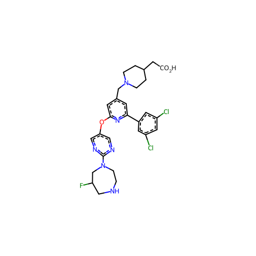 O=C(O)CC1CCN(Cc2cc(Oc3cnc(N4CCNCC(F)C4)nc3)nc(-c3cc(Cl)cc(Cl)c3)c2)CC1